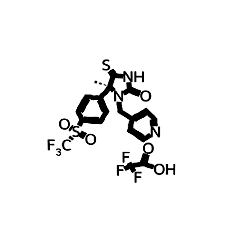 C[C@]1(c2ccc(S(=O)(=O)C(F)(F)F)cc2)C(=S)NC(=O)N1Cc1ccncc1.O=C(O)C(F)(F)F